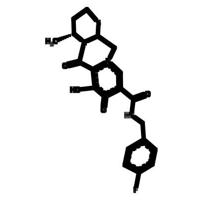 C[C@@H]1CCSC2Cn3cc(C(=O)NCc4ccc(F)cc4)c(=O)c(O)c3C(=O)N21